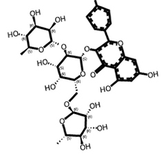 C[C@@H]1O[C@@H](OC[C@H]2O[C@@H](Oc3c(-c4ccc(O)cc4)oc4cc(O)cc(O)c4c3=O)[C@H](O[C@@H]3O[C@@H](C)[C@H](O)[C@@H](O)[C@H]3O)[C@@H](O)[C@H]2O)[C@H](O)[C@H](O)[C@H]1O